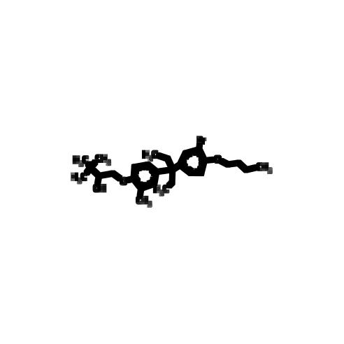 CCCCOc1ccc(C(CC)(CC)c2ccc(OCC(O)C(C)(C)C)c(C)c2)cc1Br